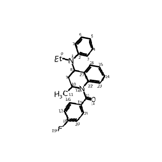 CCN(c1ccccc1)C1CC(C)N(C(=O)c2ccc(F)cc2)c2ccccc21